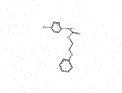 CCc1ccc(NC(=O)OCCOc2ccccc2)cc1